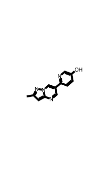 Cc1cc2ncc(-c3ccc(O)cn3)cn2n1